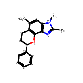 Cc1nc2c3c(c(C(=O)O)cc2n1C)CC[C@H](c1ccccc1)O3